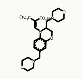 CCOC(=O)C(=CN1c2ccc(CN3CCOCC3)cc2OCC1CN1CCOCC1)C(=O)OCC